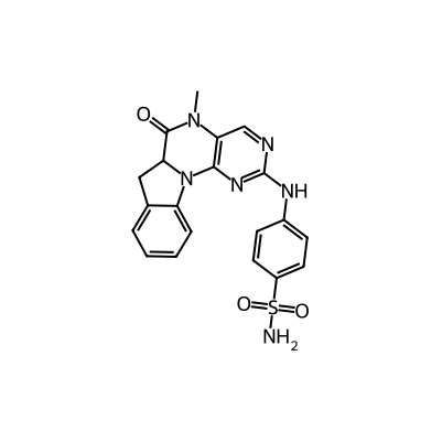 CN1C(=O)C2Cc3ccccc3N2c2nc(Nc3ccc(S(N)(=O)=O)cc3)ncc21